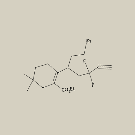 C#CC(F)(F)CC(CCC(C)C)C1=C(C(=O)OCC)CC(C)(C)CC1